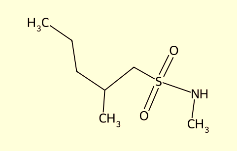 CCCC(C)CS(=O)(=O)NC